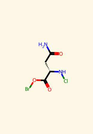 NC(=O)C[C@H](NCl)C(=O)OBr